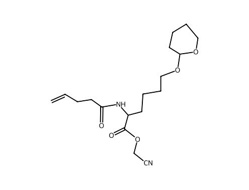 C=CCCC(=O)NC(CCCCOC1CCCCO1)C(=O)OCC#N